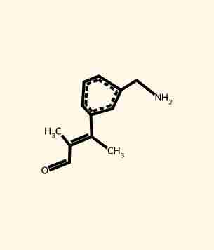 C/C(C=O)=C(/C)c1cccc(CN)c1